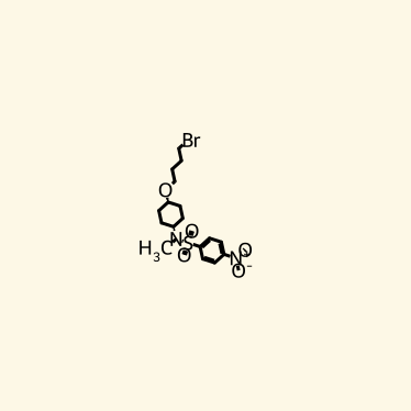 CN([C@H]1CC[C@H](OCCCCBr)CC1)S(=O)(=O)c1ccc([N+](=O)[O-])cc1